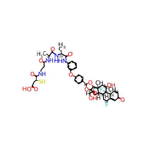 C[C@H](NC(=O)CCNC(=O)C(S)CC(=O)O)C(=O)N[C@@H](C)C(=O)Nc1cccc(Oc2ccc([C@@H]3O[C@@H]4C[C@H]5[C@@H]6C[C@H](F)C7=CC(=O)C=C[C@]7(C)[C@@]6(F)[C@@H](O)C[C@]5(C)[C@]4(C(=O)CO)O3)cc2)c1